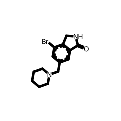 O=C1NCc2c(Br)cc(CN3CCCCC3)cc21